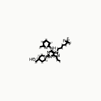 CCc1nn(CCCCC(F)(F)F)c2c(Nc3cccc(C)n3)nc(N3CCC(CO)CC3)nc12